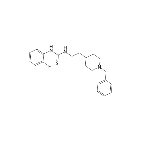 Fc1ccccc1NC(=S)NCCC1CCN(Cc2ccccc2)CC1